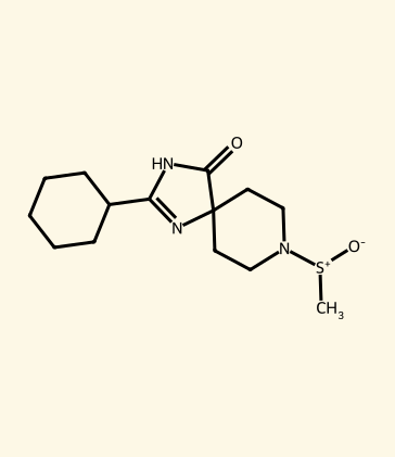 C[S+]([O-])N1CCC2(CC1)N=C(C1CCCCC1)NC2=O